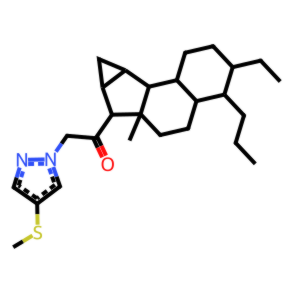 CCCC1C(CC)CCC2C1CCC1(C)C(C(=O)Cn3cc(SC)cn3)C3CC3C21